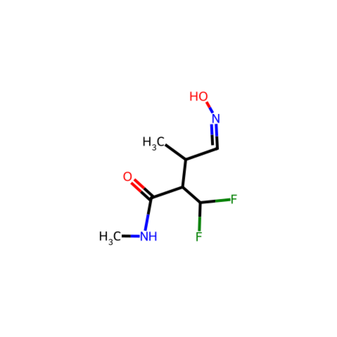 CNC(=O)C(C(F)F)C(C)/C=N\O